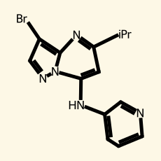 CC(C)c1cc(Nc2cccnc2)n2ncc(Br)c2n1